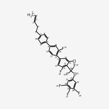 C/C=C/CCc1ccc(-c2ccc(-c3cc(F)c(C(F)(F)Oc4cc(F)c(F)c(F)c4)c(Cl)c3)c(F)c2)cc1